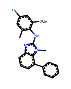 COc1cc(Cl)cc(C)c1Nc1nc2cccc(-c3[c]cccc3)c2n1C